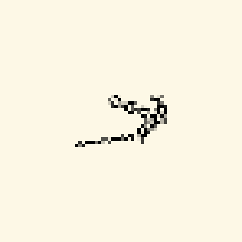 CCCCCCCCCCCCCCOc1ccc(S(=O)(=O)c2cnc3ccc([S+](C)[O-])cc3c2N2CCC(N3CCC(N4CCOCC4)CC3)CC2)cc1F